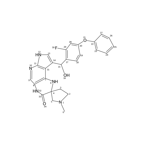 CN1CCC2(C1)Nc1c(cnc3[nH]cc(C(O)c4ccc(Oc5ccccc5)cc4F)c13)NC2=O